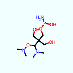 CN(C)OC(N(C)C)C(CO)(CO)COP(N)O